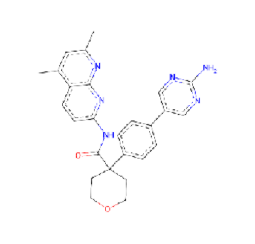 Cc1cc(C)c2ccc(NC(=O)C3(c4ccc(-c5cnc(N)nc5)cc4)CCOCC3)nc2n1